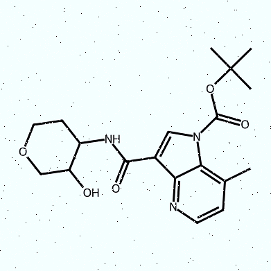 Cc1ccnc2c(C(=O)NC3CCOCC3O)cn(C(=O)OC(C)(C)C)c12